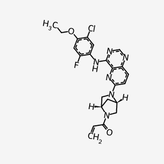 C=CC(=O)N1C[C@@H]2C[C@H]1CN2c1ccc2ncnc(Nc3cc(Cl)c(OCC)cc3F)c2n1